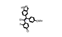 CC/C(=C(/c1ccc(OC)cc1)c1ccc2[nH]ncc2c1)c1ccc(Cl)cc1F